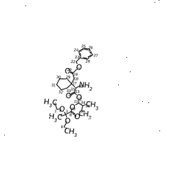 CCOC(C)(OCC)C(=O)OC(OC(=O)C(N)C1(CC(=O)OCc2ccccc2)CCCCC1)C(C)C